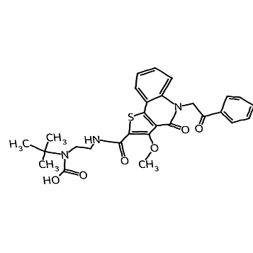 COc1c(C(=O)NCCN(C(=O)O)C(C)(C)C)sc2c1c(=O)n(CC(=O)c1ccccc1)c1ccccc21